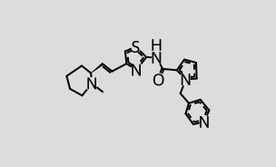 CN1CCCC[C@H]1/C=C/c1csc(NC(=O)c2cccn2Cc2ccncc2)n1